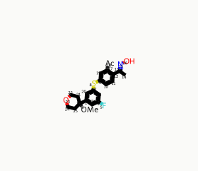 COC1(c2cc(F)cc(Sc3ccc(/C(C)=N/O)c(C(C)=O)c3)c2)CCOCC1